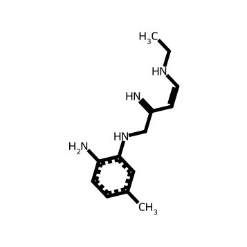 CCN/C=C\C(=N)CNc1cc(C)ccc1N